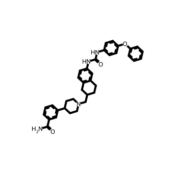 NC(=O)c1cccc(C2CCN(CC3CCc4cc(NC(=O)Nc5ccc(Oc6ccccc6)cc5)ccc4C3)CC2)c1